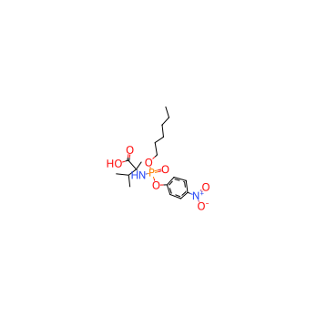 CCCCCCOP(=O)(NC(C)(C(=O)O)C(C)C)Oc1ccc([N+](=O)[O-])cc1